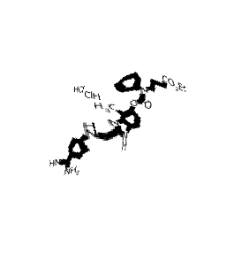 CCOC(=O)CCCN(C(=O)Oc1ccc2[nH]c(CNc3ccc(C(=N)N)cc3)nc2c1C)c1ccccc1.Cl.Cl